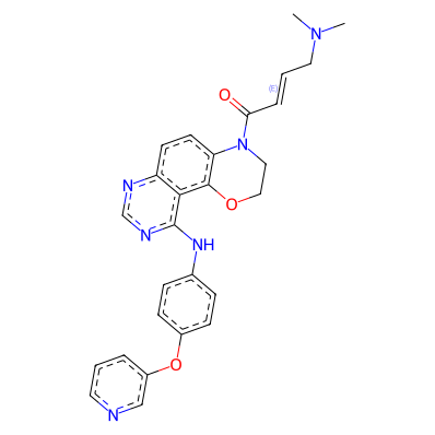 CN(C)C/C=C/C(=O)N1CCOc2c1ccc1ncnc(Nc3ccc(Oc4cccnc4)cc3)c21